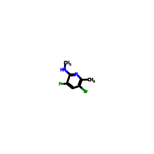 CNc1nc(C)c(Br)cc1F